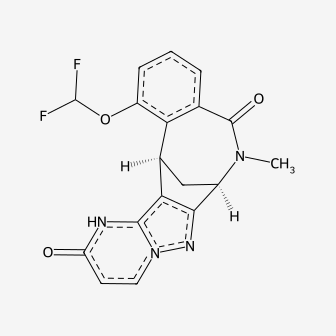 CN1C(=O)c2cccc(OC(F)F)c2[C@H]2C[C@@H]1c1nn3ccc(=O)[nH]c3c12